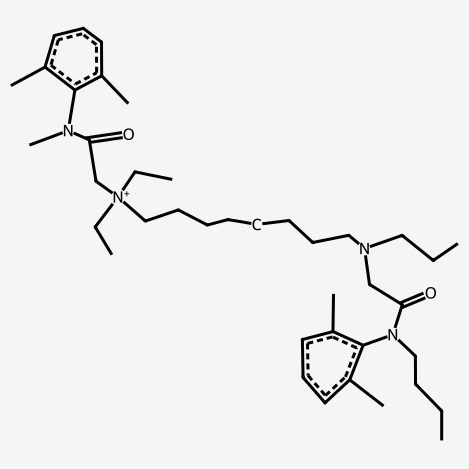 CCCCN(C(=O)CN(CCC)CCCCCCCC[N+](CC)(CC)CC(=O)N(C)c1c(C)cccc1C)c1c(C)cccc1C